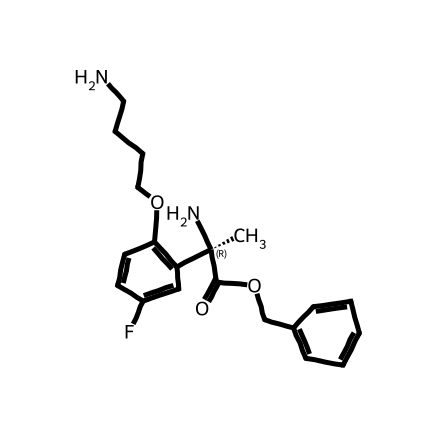 C[C@](N)(C(=O)OCc1ccccc1)c1cc(F)ccc1OCCCCN